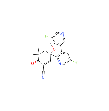 COC1(c2ncc(F)cc2-c2cncc(F)c2)C=C(C#N)C(=O)C(C)(C)C1